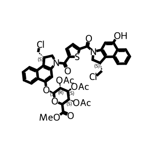 COC(=O)C1O[C@@H](Oc2cc3c(c4ccccc24)[C@H](CCl)CN3C(=O)c2ccc(C(=O)N3C[C@@H](CCl)c4c3cc(O)c3ccccc43)s2)[C@H](OC(C)=O)[C@@H](OC(C)=O)[C@@H]1OC(C)=O